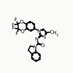 Cc1cn(-c2ccc3c(c2)OC(F)(F)C(F)(F)O3)c(=NC(=O)N2CCc3ccccc32)s1